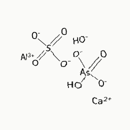 O=S(=O)([O-])[O-].O=[As]([O-])([O-])O.[Al+3].[Ca+2].[OH-]